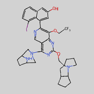 Oc1cc(-c2ncc3c(N4CC5CCC(C4)N5)nc(OCC45CCCN4C4CCCC4C5)nc3c2OCC(F)(F)F)c2c(I)cccc2c1